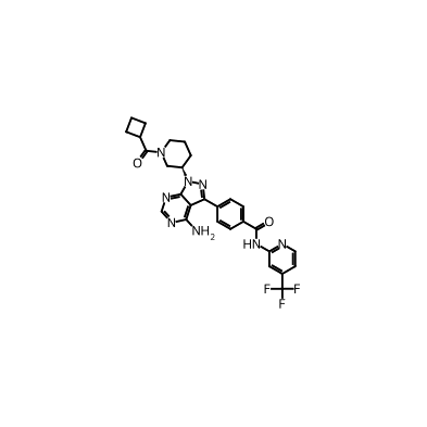 Nc1ncnc2c1c(-c1ccc(C(=O)Nc3cc(C(F)(F)F)ccn3)cc1)nn2[C@@H]1CCCN(C(=O)C2CCC2)C1